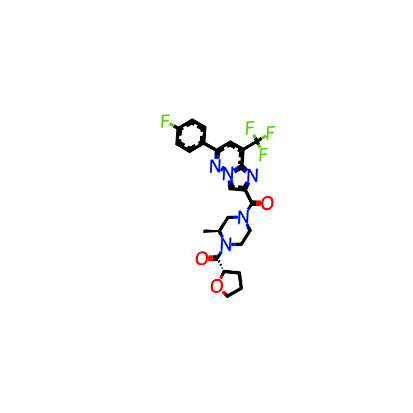 C[C@H]1CN(C(=O)c2cn3nc(-c4ccc(F)cc4)cc(C(F)(F)F)c3n2)CCN1C(=O)[C@@H]1CCCO1